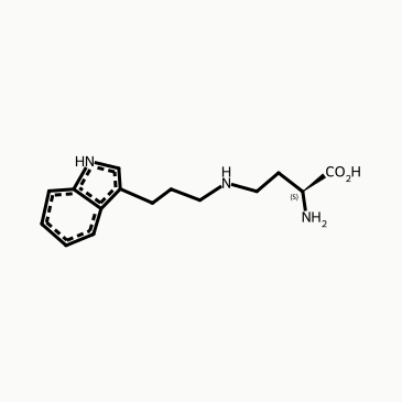 N[C@@H](CCNCCCc1c[nH]c2ccccc12)C(=O)O